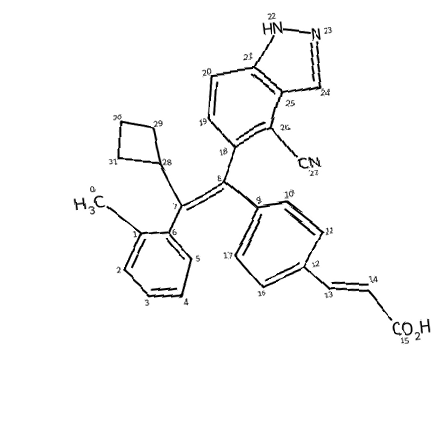 Cc1ccccc1C(=C(c1ccc(C=CC(=O)O)cc1)c1ccc2[nH]ncc2c1C#N)C1CCC1